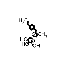 CCCc1ccc(CC2=C(C)CC([C@H]3C[C@@H](O)[C@H](O)[C@@H](CO)O3)S2)cc1